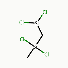 C[Si](Cl)(Cl)C[Si](Cl)Cl